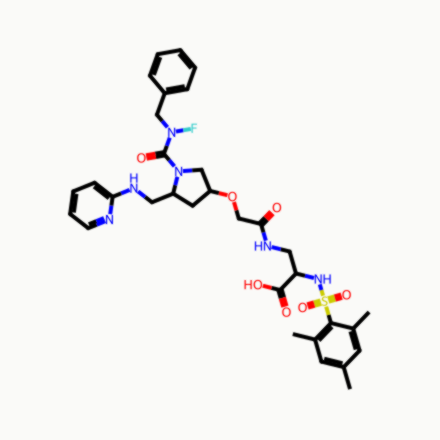 Cc1cc(C)c(S(=O)(=O)NC(CNC(=O)COC2CC(CNc3ccccn3)N(C(=O)N(F)Cc3ccccc3)C2)C(=O)O)c(C)c1